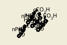 CCCSc1nc(N2CC(OCC(=O)O)C2)ccc1C(=O)NC1CCCCC1.CCCSc1nc(N2CCCC(C3(C(=O)O)CCC3)C2)ccc1C(=O)NC1CCCCC1.CCCSc1nc(N2CCCC(CCC(=O)O)C2)ccc1C(=O)NC1CCCCC1.CCCSc1nc(N2CC[C@H](CC(=O)O)C2)ccc1C(=O)NC1CCCCC1